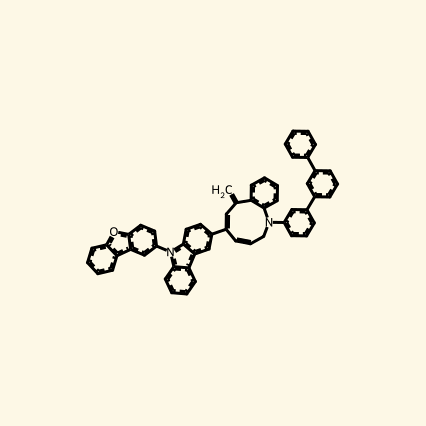 C=C1/C=C(c2ccc3c(c2)c2ccccc2n3-c2ccc3oc4ccccc4c3c2)\C=C/CN(c2cccc(-c3cccc(-c4ccccc4)c3)c2)c2ccccc21